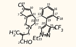 C=C(C=O)CN1Cc2sc(Cl)cc2[C@H](c2cccc(F)c2-c2cn(CC)nc2C(F)(F)F)C1